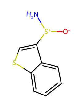 N[S+]([O-])c1csc2ccccc12